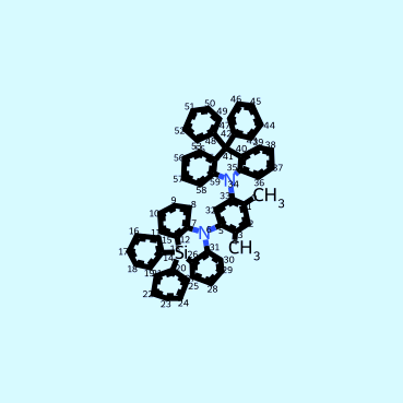 Cc1cc(C)c(N2c3ccccc3[Si](c3ccccc3)(c3ccccc3)c3ccccc32)cc1N1c2ccccc2C(c2ccccc2)(c2ccccc2)c2ccccc21